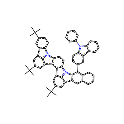 CC(C)(C)c1ccc2c(c1)c1cc(C(C)(C)C)cc3c4c5c6cc(C(C)(C)C)cc7c8cc9ccccc9c(-c9ccc%10c(c9)c9ccccc9n%10-c9ccccc9)c8n(c5ccc4n2c13)c76